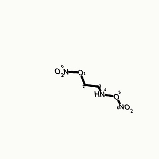 O=[N+]([O-])OCCNO[N+](=O)[O-]